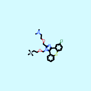 CN(C)CCOCc1nc2c(n1COCC[Si](C)(C)C)-c1ccccc1Sc1ccc(Cl)cc1-2